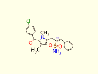 Cc1cc(C/C(=C/c2ccccc2)S(N)(=O)=O)n(C)c1C(=O)c1ccc(Cl)cc1